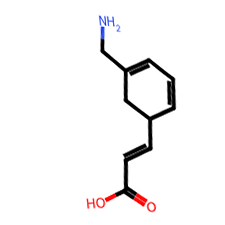 NCC1=CC=CC(C=CC(=O)O)C1